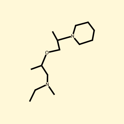 CCN(C)CC(C)OCC(C)N1CCCCC1